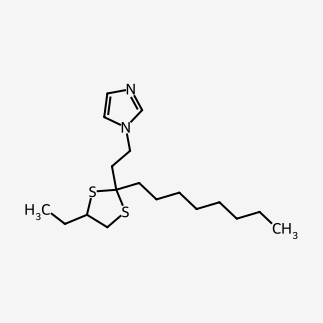 CCCCCCCCC1(CCn2ccnc2)SCC(CC)S1